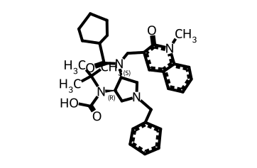 Cn1c(=O)c(CN(C(=O)C2CCCCC2)[C@H]2CN(Cc3ccccc3)C[C@H]2N(C(=O)O)C(C)(C)C)cc2ccccc21